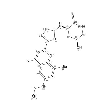 Cc1cc(C2=NNC(N[C@@H]3C[C@H](O)CNC3=O)O2)nc2c(C(C)(C)C)cc(NCC(F)(F)F)cc12